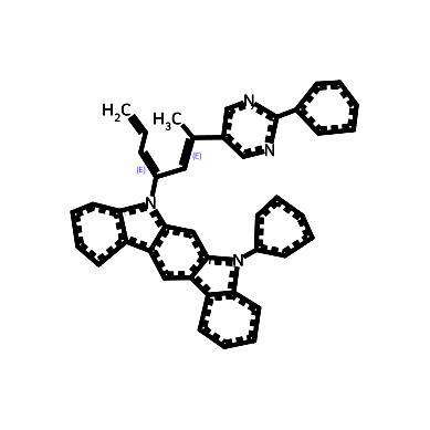 C=C/C=C(\C=C(/C)c1cnc(-c2ccccc2)nc1)n1c2ccccc2c2cc3c4ccccc4n(-c4ccccc4)c3cc21